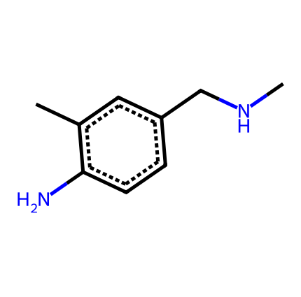 CNCc1ccc(N)c(C)c1